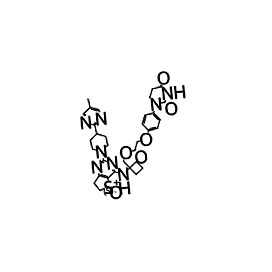 Cc1cnc(C2CCN(c3nc4c(c(NC5(COC(=O)COc6ccc(N7CCC(=O)NC7=O)cc6)CCC5)n3)[S@+]([O-])CC4)CC2)nc1